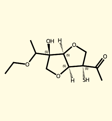 CCOC(C)[C@@]1(O)CO[C@H]2[C@@H]1OC[C@@]2(S)C(C)=O